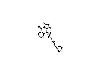 Cn1cnc2c1C(=O)c1ccccc1/C2=N\OCCOCc1ccccc1